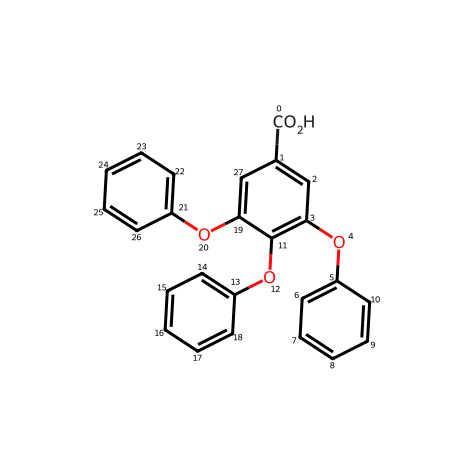 O=C(O)c1cc(Oc2ccccc2)c(Oc2ccccc2)c(Oc2ccccc2)c1